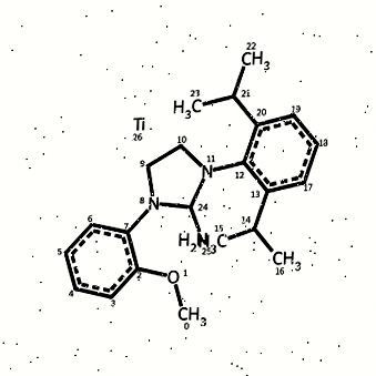 COc1ccccc1N1CCN(c2c(C(C)C)cccc2C(C)C)C1N.[Ti]